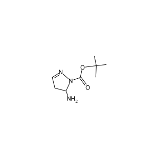 CC(C)(C)OC(=O)N1N=CCC1N